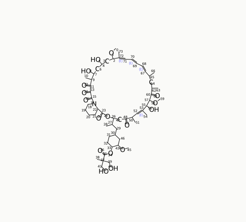 COC1CC(O)CC(O)C(C)C(=O)C(=O)C(=O)N2CCCCC2C(=O)OC(C(C)CC2CCC(OC(=O)C(C)(CO)CO)C(OC)C2)CC(=O)C(C)/C=C(\C)C(O)C(OC)C(=O)C(C)CC(C)/C=C/C=C/C=C/1C